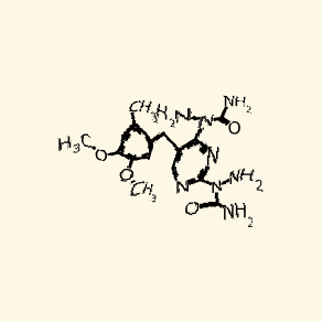 COc1cc(C)c(Cc2cnc(N(N)C(N)=O)nc2N(N)C(N)=O)cc1OC